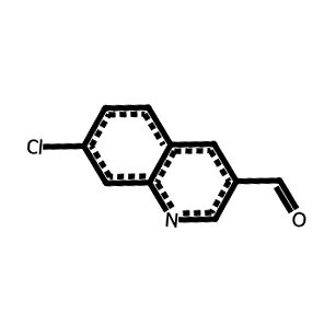 O=Cc1cnc2cc(Cl)ccc2c1